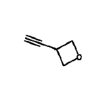 C#C[C]1COC1